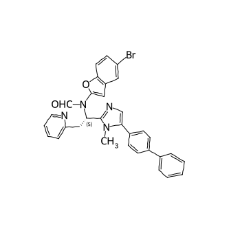 Cn1c(-c2ccc(-c3ccccc3)cc2)cnc1[C@H](Cc1ccccn1)N(C=O)c1cc2cc(Br)ccc2o1